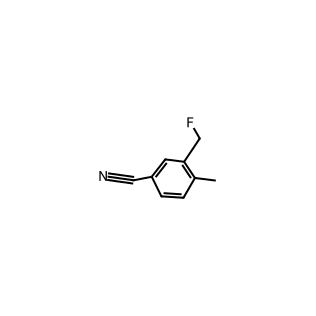 Cc1ccc(C#N)cc1CF